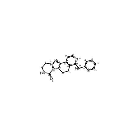 O=C1NCCn2nc3c(c21)CCc1c-3ccnc1Nc1ccccc1